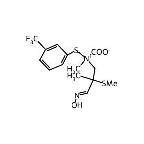 CSC(C)(C=NO)C[N+](C)(Sc1cccc(C(F)(F)F)c1)C(=O)[O-]